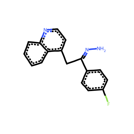 NN=C(Cc1ccnc2ccccc12)c1ccc(F)cc1